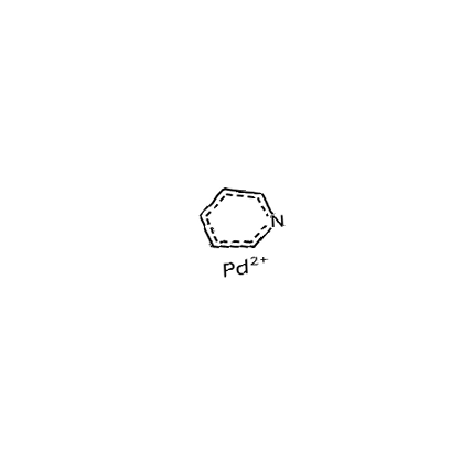 [Pd+2].c1ccncc1